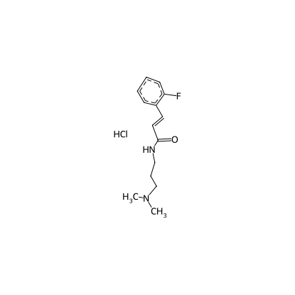 CN(C)CCCNC(=O)C=Cc1ccccc1F.Cl